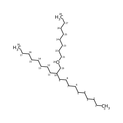 CCCCCCCCCCC(CCCCCCCC)COCCCCCCCC